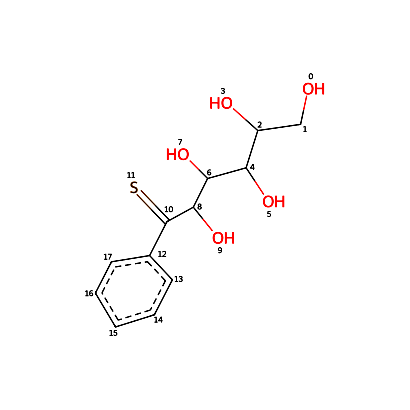 OCC(O)C(O)C(O)C(O)C(=S)c1ccccc1